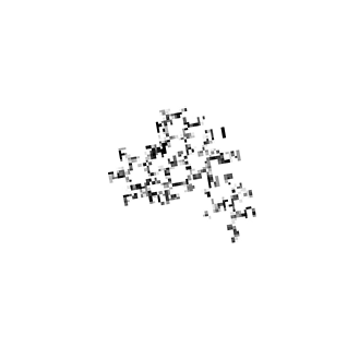 C=CC(=O)N1[C@H](C)CN(C2=C(C#N)C(O)N(c3c(C)ccnc3C(C)C)c3nc(-c4c(O)c(F)c(F)c(F)c4Cl)c(Cl)cc32)C[C@@H]1C